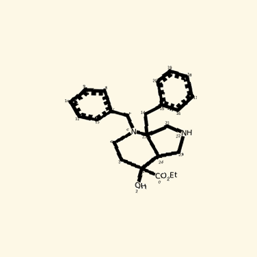 CCOC(=O)C1(O)CCN(Cc2ccccc2)C2(Cc3ccccc3)CNCC12